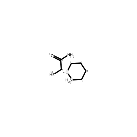 C1CC[SiH2]OC1.NC(=O)CS